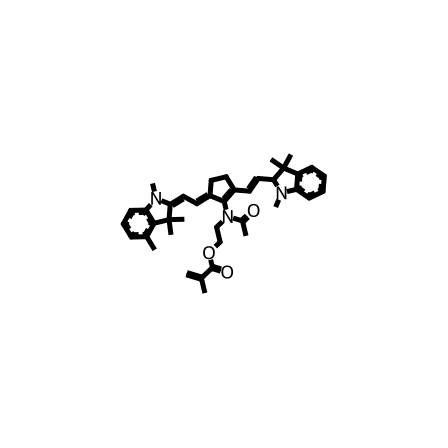 C=C(C)C(=O)OCCN(C(C)=O)C1=C(/C=C/C2N(C)c3ccccc3C2(C)C)CC/C1=C\C=C1\N(C)c2cccc(C)c2C1(C)C